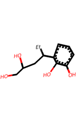 CCC(CC(O)CO)c1cccc(O)c1O